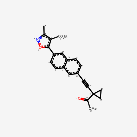 CCOC(=O)c1c(C)noc1-c1ccc2cc(C#CC3(C(=O)OC)CC3)ccc2c1